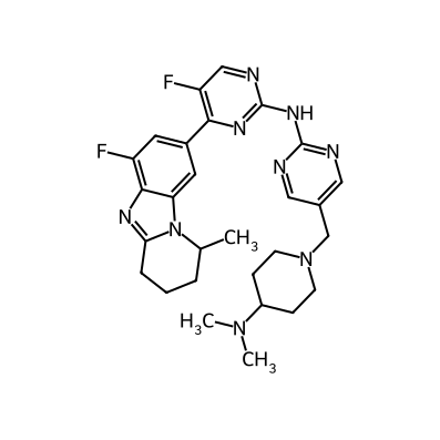 CC1CCCc2nc3c(F)cc(-c4nc(Nc5ncc(CN6CCC(N(C)C)CC6)cn5)ncc4F)cc3n21